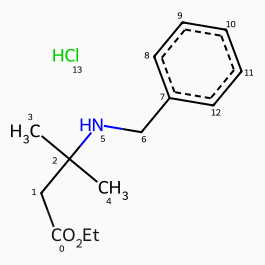 CCOC(=O)CC(C)(C)NCc1ccccc1.Cl